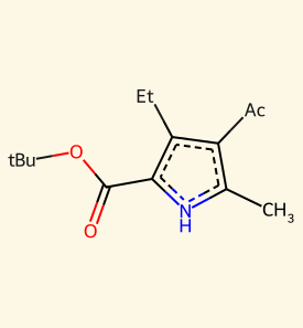 CCc1c(C(=O)OC(C)(C)C)[nH]c(C)c1C(C)=O